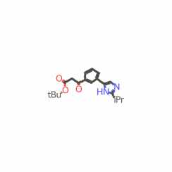 CC(C)c1ncc(-c2cccc(C(=O)CC(=O)OC(C)(C)C)c2)[nH]1